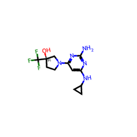 Nc1nc(NC2CC2)cc(N2CC[C@](O)(C(F)(F)F)C2)n1